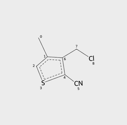 Cc1csc(C#N)c1CCl